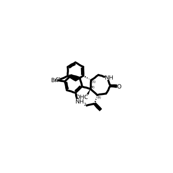 C=C(C)[C@H]1CC(=O)NC[C@@H](c2cccc(Cl)c2)[C@@]1(C=O)c1ccc(Br)cc1N